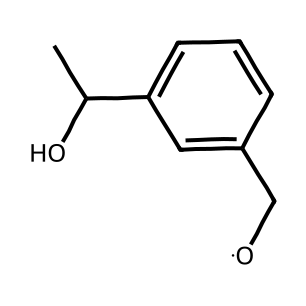 CC(O)c1cccc(C[O])c1